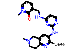 COc1nc2c(cc1Nc1nccc(NCc3cccn(C)c3=O)n1)CN(C)CC2